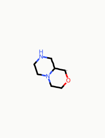 [CH]1OCCN2CCNCC12